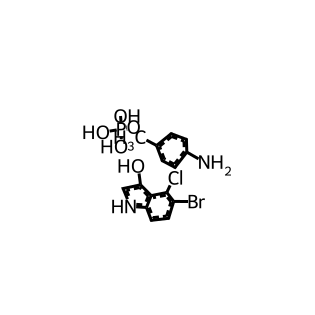 Cc1ccc(N)cc1.O=P(O)(O)O.Oc1c[nH]c2ccc(Br)c(Cl)c12